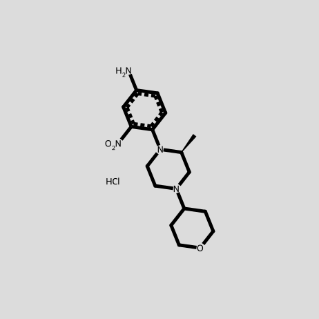 C[C@H]1CN(C2CCOCC2)CCN1c1ccc(N)cc1[N+](=O)[O-].Cl